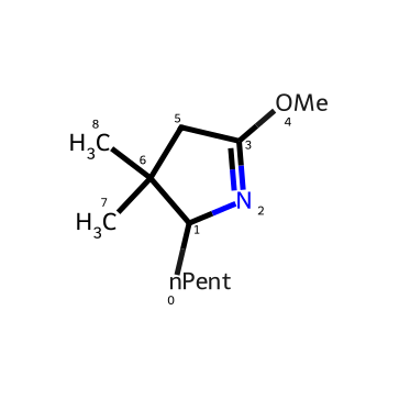 CCCCCC1N=C(OC)CC1(C)C